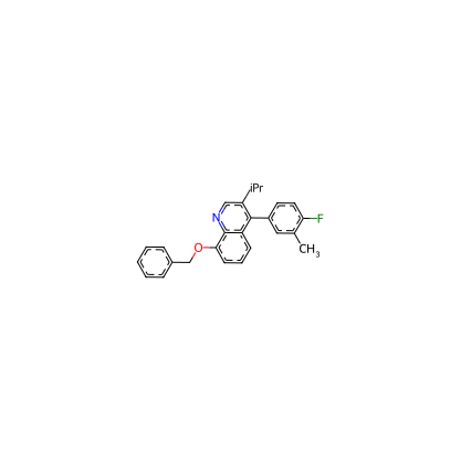 Cc1cc(-c2c(C(C)C)cnc3c(OCc4ccccc4)cccc23)ccc1F